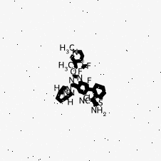 CN1CC[C@H](C(F)F)[C@](C)(COc2nc(N3C[C@H]4CC[C@@H](C3)N4)c3cc(Cl)c(-c4cccc5sc(N)c(C#N)c45)c(F)c3n2)C1